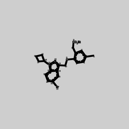 CCOC(=O)Cc1cc(C)ccc1OCc1nn(C2CCC2)c2ccc(Br)cc12